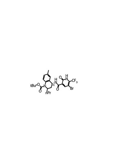 CCCC1C[C@@H](NC(=O)c2cc(Br)c(C(F)(F)F)[nH]c2=O)c2cc(C)ccc2N1C(=O)OC(C)(C)C